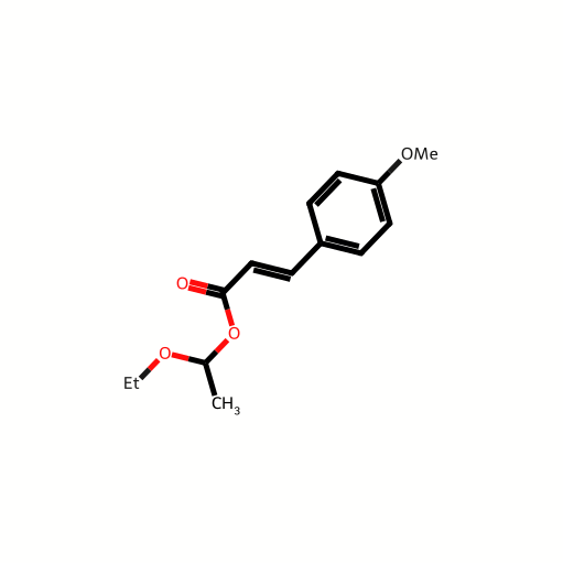 CCOC(C)OC(=O)C=Cc1ccc(OC)cc1